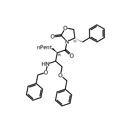 CCCCC[C@@H](C(=O)N1C(=O)OC[C@@H]1Cc1ccccc1)C(COCc1ccccc1)NOCc1ccccc1